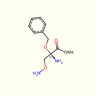 COC(=O)[C@](N)(CON)OCc1ccccc1